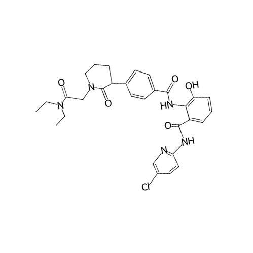 CCN(CC)C(=O)CN1CCCC(c2ccc(C(=O)Nc3c(O)cccc3C(=O)Nc3ccc(Cl)cn3)cc2)C1=O